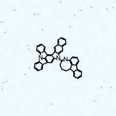 c1ccc2c(c1)-c1cccc3c1C2CCC/C(n1c2cc4ccccc4cc2c2c4c5ccccc5n5c6ccccc6c(cc21)c45)=N\3